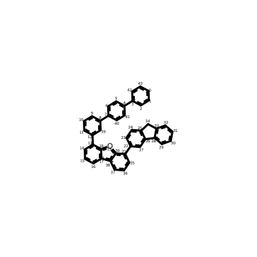 c1ccc(-c2ccc(-c3cccc(-c4cccc5c4oc4c(-c6ccc7c(c6)-c6ccccc6C7)cccc45)c3)cc2)cc1